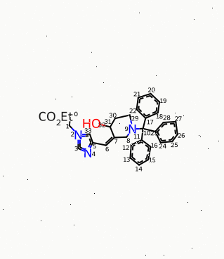 CCOC(=O)Cn1cnc(/C=C2/CN(C(c3ccccc3)(c3ccccc3)c3ccccc3)CCC2O)c1